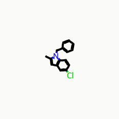 Cc1cc2cc(Cl)ccc2n1Cc1ccccc1